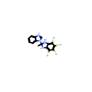 CC1(n2cnc3ccccc32)[N]c2c(F)c(F)c(F)c(F)c2N1